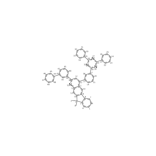 CC1(C)c2ccccc2-c2cc3c(-c4cccc(-c5nc(-c6ccccc6)nc(-c6ccccc6)n5)c4)cc(-c4cccc(-c5ccccc5)c4)nc3cc21